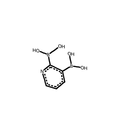 OB(O)c1cccnc1B(O)O